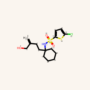 C=C(CO)CCC1(NS(=O)(=O)c2ccc(Cl)s2)CCCCC1